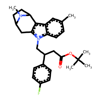 Cc1ccc2c(c1)c1c(n2CC(CC(=O)OC(C)(C)C)c2ccc(F)cc2)CC2CCC1N2C